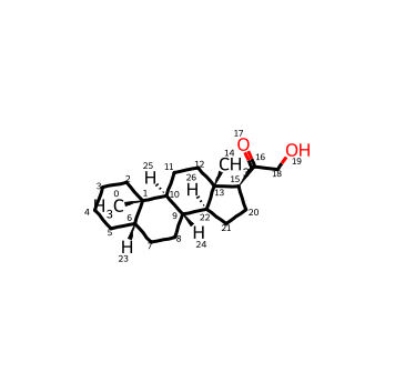 C[C@]12CCCC[C@H]1CC[C@@H]1[C@@H]2CC[C@]2(C)[C@@H](C(=O)CO)CC[C@@H]12